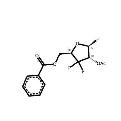 CC(=O)O[C@H]1[C@H](F)O[C@H](COC(=O)c2ccccc2)C1(F)F